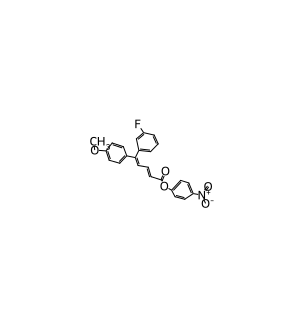 COc1ccc(C(=CC=CC(=O)Oc2ccc([N+](=O)[O-])cc2)c2cccc(F)c2)cc1